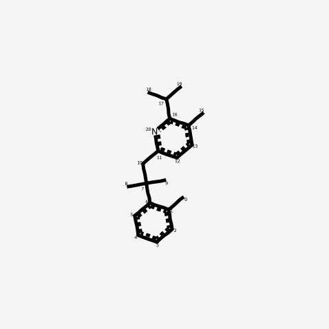 Cc1ccccc1C(C)(C)Cc1ccc(C)c(C(C)C)n1